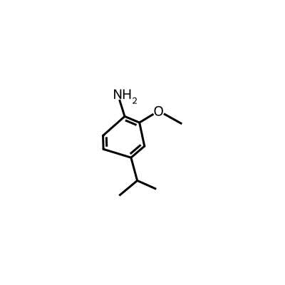 COc1cc(C(C)C)ccc1N